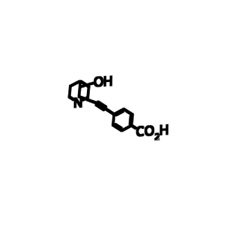 O=C(O)c1ccc(C#CC2C(O)C3CCN2CC3)cc1